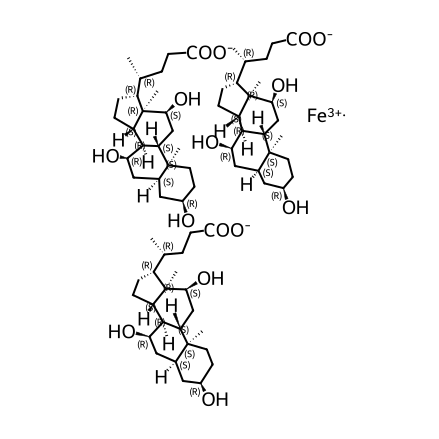 C[C@H](CCC(=O)[O-])[C@H]1CC[C@H]2[C@@H]3[C@H](O)C[C@@H]4C[C@H](O)CC[C@]4(C)[C@H]3C[C@H](O)[C@]12C.C[C@H](CCC(=O)[O-])[C@H]1CC[C@H]2[C@@H]3[C@H](O)C[C@@H]4C[C@H](O)CC[C@]4(C)[C@H]3C[C@H](O)[C@]12C.C[C@H](CCC(=O)[O-])[C@H]1CC[C@H]2[C@@H]3[C@H](O)C[C@@H]4C[C@H](O)CC[C@]4(C)[C@H]3C[C@H](O)[C@]12C.[Fe+3]